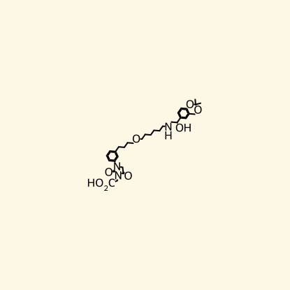 CC1(C)OCc2cc([C@@H](O)CNCCCCCCOCCCCc3cccc(N4CC(=O)N(CC(=O)O)C4=O)c3)ccc2O1